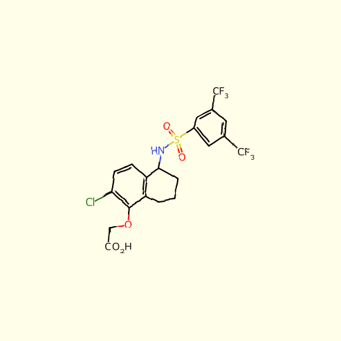 O=C(O)COc1c(Cl)ccc2c1CCCC2NS(=O)(=O)c1cc(C(F)(F)F)cc(C(F)(F)F)c1